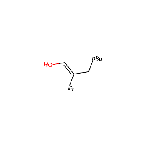 CCCCCC(=CO)C(C)C